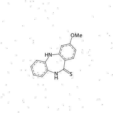 COc1ccc2c(c1)Nc1ccccc1NC2=S